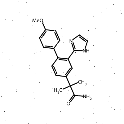 COc1ccc(-c2ccc(C(C)(C)C(N)=O)cc2-c2ncc[nH]2)cc1